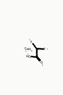 O=C(O)C(F)F.[GaH3]